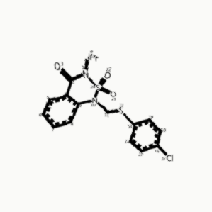 CC(C)N1C(=O)c2ccccc2N(CSc2ccc(Cl)cc2)S1(=O)=O